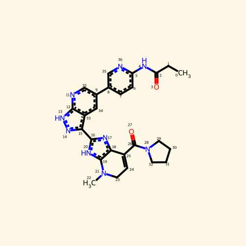 CCC(=O)Nc1ccc(-c2cnc3[nH]nc(-c4nc5c([nH]4)N(C)CC=C5C(=O)N4CCCC4)c3c2)cn1